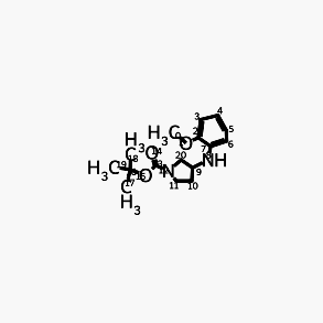 COc1ccccc1NC1CCN(C(=O)OC(C)(C)C)C1